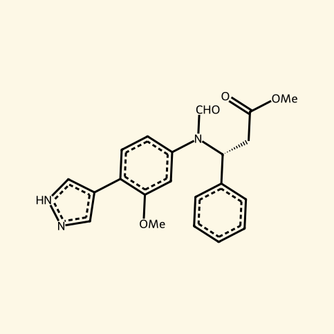 COC(=O)C[C@H](c1ccccc1)N(C=O)c1ccc(-c2cn[nH]c2)c(OC)c1